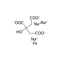 O=C([O-])CC(O)(CC(=O)[O-])C(=O)[O-].[Fe].[Na+].[Na+].[Na+]